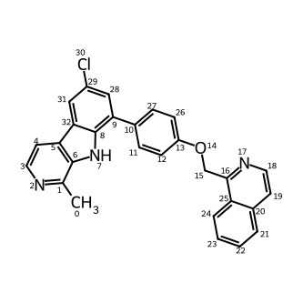 Cc1nccc2c1[nH]c1c(-c3ccc(OCc4nccc5ccccc45)cc3)cc(Cl)cc12